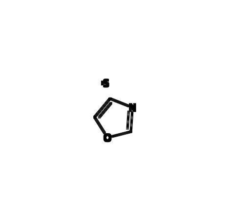 [S].c1cocn1